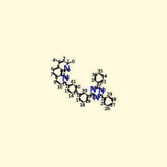 Cc1cc(C)c2ccc3ccc(-c4ccc(-c5cccc(-c6nc(-c7ccccc7)nc(-c7ccccc7)n6)c5)cc4)nc3c2n1